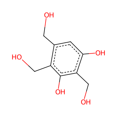 OCc1cc(O)c(CO)c(O)c1CO